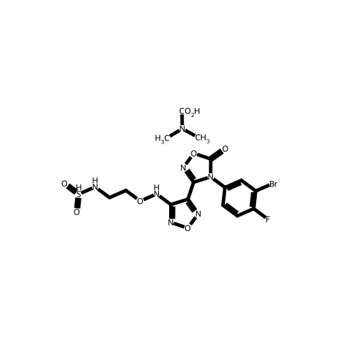 CN(C)C(=O)O.O=c1onc(-c2nonc2NOCCN[SH](=O)=O)n1-c1ccc(F)c(Br)c1